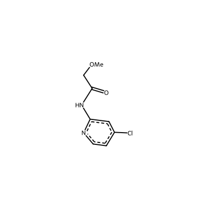 COCC(=O)Nc1cc(Cl)ccn1